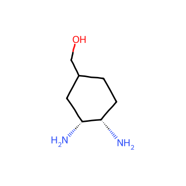 N[C@@H]1CC(CO)CC[C@@H]1N